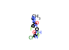 Cn1ccc(N2CC3(C2)C(=O)N(C[C@H]2CC[C@H](NC(=O)c4cc(Cl)cnc4C(F)F)CC2)c2cc(F)ccc23)n1